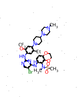 CCc1cc(Nc2ncc(Br)c(Nc3ccc4c(c3N(C)S(C)(=O)=O)OCCO4)n2)c(OC(F)(F)F)cc1N1CCC(N2CCN(C)CC2)CC1